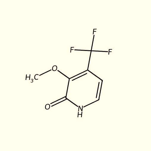 COc1c(C(F)(F)F)cc[nH]c1=O